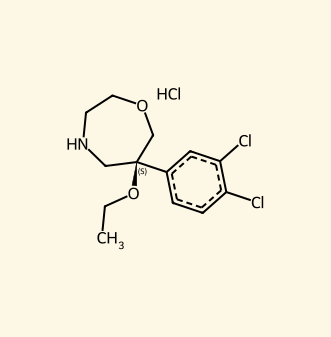 CCO[C@@]1(c2ccc(Cl)c(Cl)c2)CNCCOC1.Cl